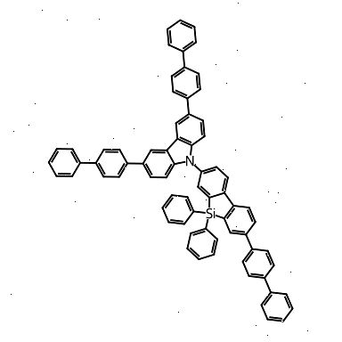 c1ccc(-c2ccc(-c3ccc4c(c3)[Si](c3ccccc3)(c3ccccc3)c3cc(-n5c6ccc(-c7ccc(-c8ccccc8)cc7)cc6c6cc(-c7ccc(-c8ccccc8)cc7)ccc65)ccc3-4)cc2)cc1